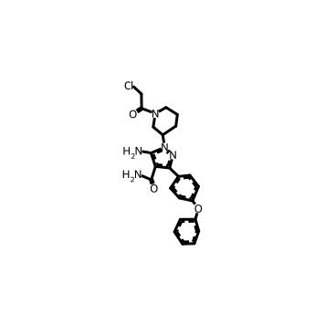 NC(=O)c1c(-c2ccc(Oc3ccccc3)cc2)nn(C2CCCN(C(=O)CCl)C2)c1N